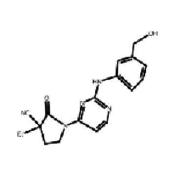 CCC1(C#N)CCN(c2ccnc(Nc3cccc(CO)c3)n2)C1=O